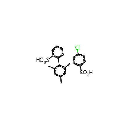 Cc1cc(C)c(-c2ccccc2S(=O)(=O)O)c(C)c1.O=S(=O)(O)c1ccc(Cl)cc1